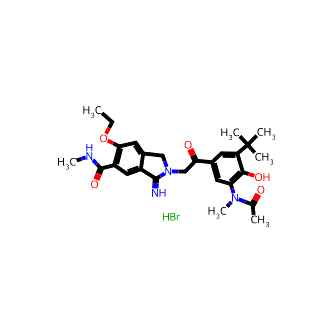 Br.CCOc1cc2c(cc1C(=O)NC)C(=N)N(CC(=O)c1cc(N(C)C(C)=O)c(O)c(C(C)(C)C)c1)C2